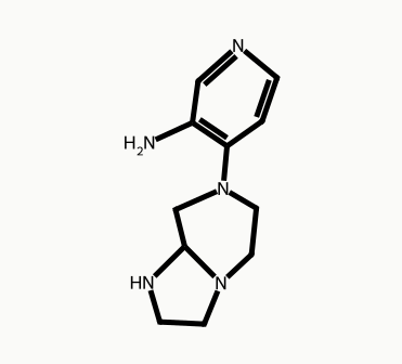 Nc1cnccc1N1CCN2CCNC2C1